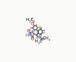 C=COc1cccc(C2=C(c3cn(C(C)C)c4ccc(F)cc34)C(=O)NC2=O)c1